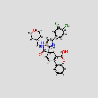 O=C(O)C1=C(c2ccccc2)C=CC(C(=O)NCC2CCOCC2)(c2nc(-c3ccc(Cl)c(Cl)c3)cs2)C1